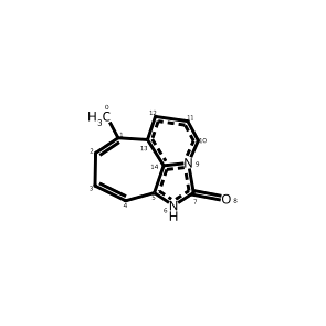 CC1=CC=Cc2[nH]c(=O)n3cccc1c23